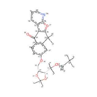 CC1(C)O[C@@H](C(C)(C)O[SiH2]C(C)(C)C)[C@@H](COc2ccc3c(c2)C(C)(C)c2oc4ncccc4c2C3=O)O1